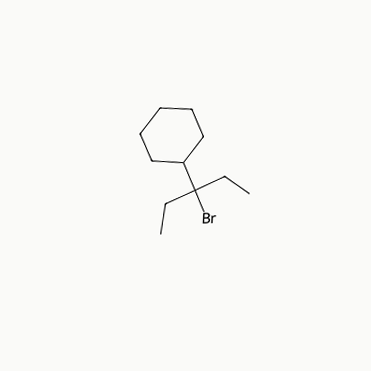 CCC(Br)(CC)C1CCCCC1